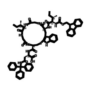 CC[C@H](C)[C@@H]1NC(=O)CNC(=O)[C@@H](NC(=O)[C@@H](NC(=O)OCC2c3ccccc3-c3ccccc32)[C@@H](C)CC)Cc2c([nH]c3ccccc23)SC[C@@H](C(=O)N[C@@H](CC(=O)NC(c2ccccc2)(c2ccccc2)c2ccccc2)C(=O)O)NC(=O)CNC1=O